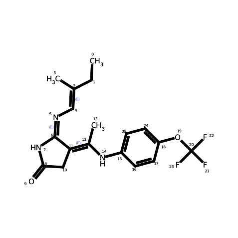 CC/C(C)=C/N=C1/NC(=O)C/C1=C(/C)Nc1ccc(OC(F)(F)F)cc1